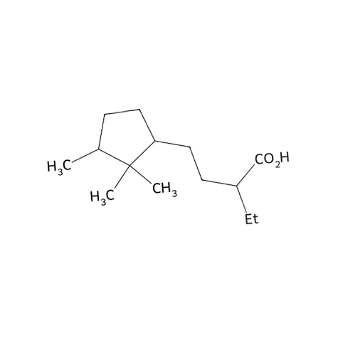 CCC(CCC1CCC(C)C1(C)C)C(=O)O